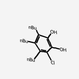 CCCCc1c(O)c(O)c(Cl)c(CCCC)c1CCCC